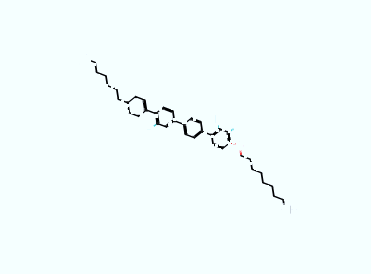 CCCCCCCCCOc1ccc(-c2ccc(-c3ccc(C4=CCC(CCCCCCC)CC4)c(F)c3)cc2)c(F)c1F